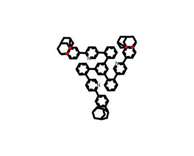 c1ccc(-c2cc(-c3ccccc3-c3ccc(-c4ccc5c(c4)C4CC6CC(CC5C6)C4)nc3)cc(-c3ccccc3-c3ccc(-c4ccc5c(c4)C4CC6CC(C4)C5C6)nc3)c2)c(-c2ccc(-c3ccc4c(c3)C3CC5CC(CC4C5)C3)nc2)c1